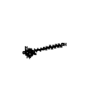 Cc1c(C)n(CCCCCCSCCCCCCCCCCCO)c2ccc3[nH]c(=O)cc(C(F)(F)F)c3c12